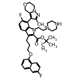 Cc1nn2c(c1-c1c(F)ccc3c(CCCOc4cccc5cc(F)ccc45)c(C(=O)OC(C)(C)C)n(CCN4CCNCC4)c13)COCC2